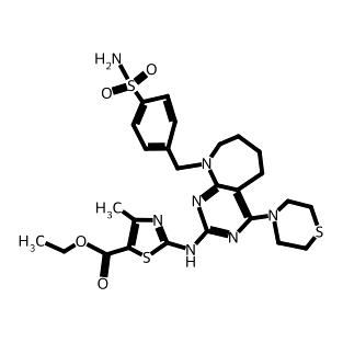 CCOC(=O)c1sc(Nc2nc(N3CCSCC3)c3c(n2)N(Cc2ccc(S(N)(=O)=O)cc2)CCCC3)nc1C